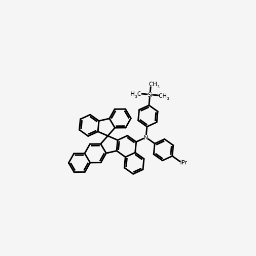 CC(C)c1ccc(N(c2ccc([Si](C)(C)C)cc2)c2cc3c(c4ccccc24)-c2cc4ccccc4cc2C32c3ccccc3-c3ccccc32)cc1